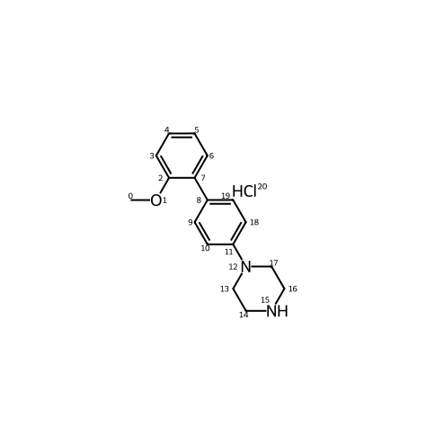 COc1ccccc1-c1ccc(N2CCNCC2)cc1.Cl